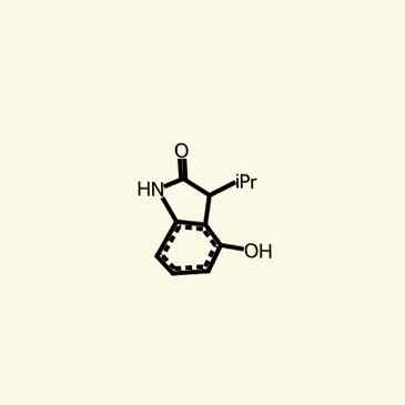 CC(C)C1C(=O)Nc2cccc(O)c21